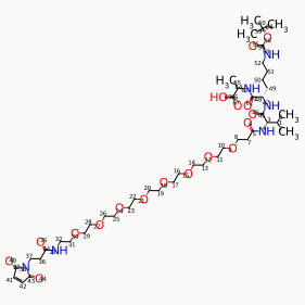 CC(C)[C@H](NC(=O)CCOCCOCCOCCOCCOCCOCCOCCOCCNC(=O)CCN1C(=O)C=CC1=O)C(=O)N[C@@H](CCCCNC(=O)OC(C)(C)C)C(=O)N[C@H](C)C(=O)O